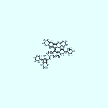 C1=C(C2=Nc3sc4cc(-c5ccccn5)ccc4c3C(n3c4cc5ccccc5cc4c4cc5ccccc5cc43)N2)CCc2c1c1ccccc1n2-c1ccccc1